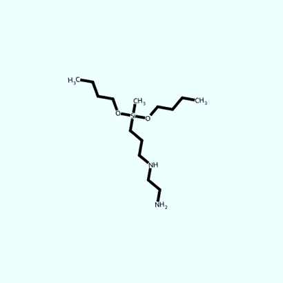 CCCCO[Si](C)(CCCNCCN)OCCCC